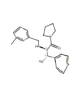 O=C([C@H](NCc1cccc(I)c1)[C@@H](O)c1ccncc1)N1CCCC1